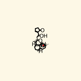 C[C@H]1[C@@H](C[C@@H](O)C2=CCCC2=O)O[C@@H]2O[C@]3(C)CC[C@H]4[C@H](C)CC[C@@H]1[C@@]24OO3